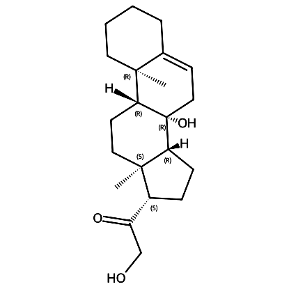 C[C@]12CC[C@H]3[C@@](O)(CC=C4CCCC[C@@]43C)[C@@H]1CC[C@@H]2C(=O)CO